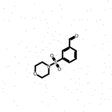 O=[C]c1cccc(S(=O)(=O)N2CCOCC2)c1